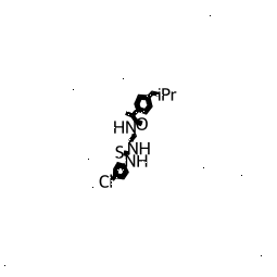 CC(C)Cc1ccc(C(C)C(=O)NCCNC(=S)Nc2ccc(Cl)cc2)cc1